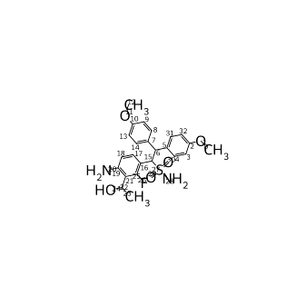 COc1ccc(C(c2ccc(OC)cc2)C(c2ccc(N)c(C(C)O)c2F)S(N)(=O)=O)cc1